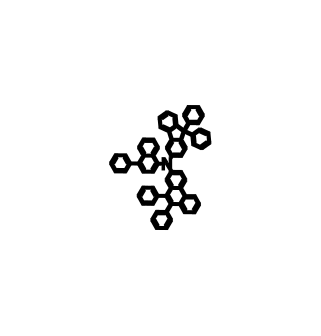 c1ccc(-c2ccc(N(c3ccc4c(c3)-c3ccccc3C4(c3ccccc3)c3ccccc3)c3ccc4c(c3)c(-c3ccccc3)c(-c3ccccc3)c3ccccc34)c3ccccc23)cc1